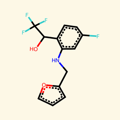 OC(c1ccc(F)cc1NCc1ccco1)C(F)(F)F